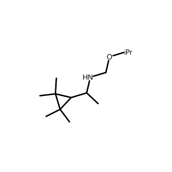 CC(C)OCNC(C)C1C(C)(C)C1(C)C